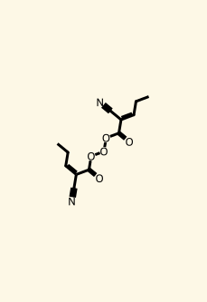 CCC=C(C#N)C(=O)OOOC(=O)C(C#N)=CCC